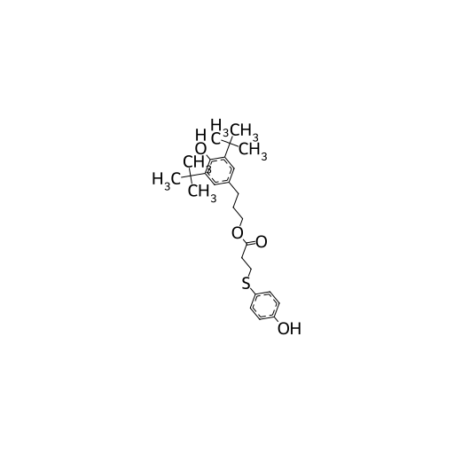 CC(C)(C)c1cc(CCCOC(=O)CCSc2ccc(O)cc2)cc(C(C)(C)C)c1O